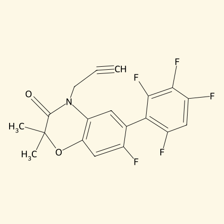 C#CCN1C(=O)C(C)(C)Oc2cc(F)c(-c3c(F)cc(F)c(F)c3F)cc21